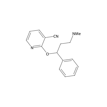 CNCCC(Oc1ncccc1C#N)c1ccccc1